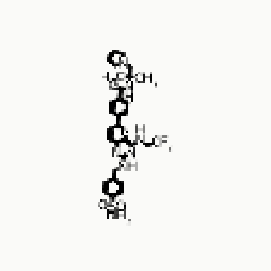 CC(C)(CN1CCCC1)NC(=O)c1ccc(-c2ccc3nc(NCc4ccc(S(N)(=O)=O)cc4)nc(NCC(F)(F)F)c3n2)cc1